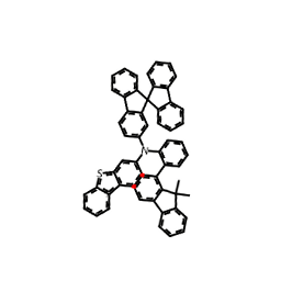 CC1(C)c2ccccc2-c2cccc(-c3ccccc3N(c3ccc4c(c3)C3(c5ccccc5-c5ccccc53)c3ccccc3-4)c3ccc4c(c3)sc3ccccc34)c21